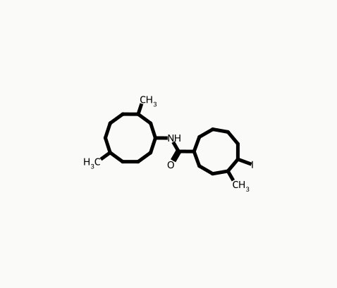 CC1CCCC(C)CC(NC(=O)C2CCCCC(I)C(C)CC2)CCC1